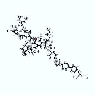 CC(C)Oc1ccc(-c2ccc(-c3nnc(C4CCC(CN[C@@H](C[C@@H](O)CNC=O)C(=O)N[C@H](C(=O)N5C[C@H](O)C[C@H]5C(=O)N[C@H](C(=O)N[C@H](C(=O)N5C[C@@H](O)[C@@H](C)C5)[C@H](O)CCNC(CO)CO)[C@H](O)Cc5ccc(O)c(OS(=O)(=O)O)c5)[C@@H](C)O)CC4)s3)cc2)cc1